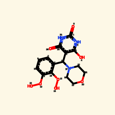 O=c1[nH]c(O)c(C(c2cccc(OO)c2OO)N2CCOCC2)c(=O)[nH]1